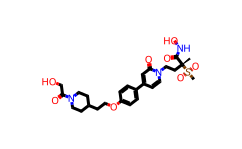 C[C@@](CCn1ccc(-c2ccc(OCCC3CCN(C(=O)CO)CC3)cc2)cc1=O)(C(=O)NO)S(C)(=O)=O